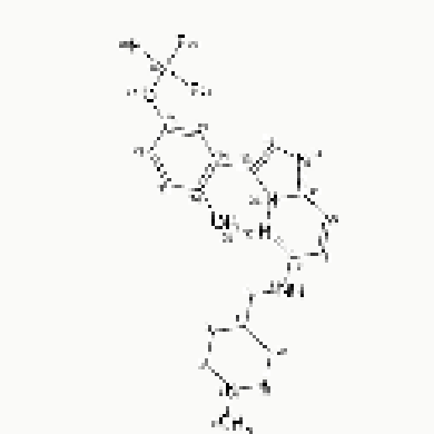 CN1CCC(CNc2ccc3ncc(-c4cc(OC(F)(F)F)ccc4O)n3n2)CC1